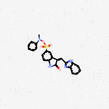 CN(OS(=O)(=O)c1ccc2c(c1)C(=Cc1nc3ccccc3[nH]1)C(=O)N2)c1ccccc1